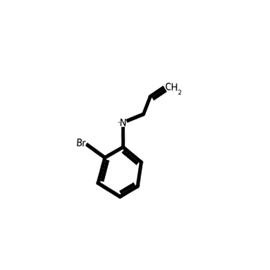 C=CC[N]c1ccccc1Br